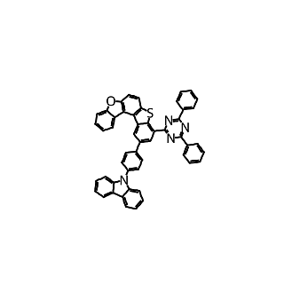 c1ccc(-c2nc(-c3ccccc3)nc(-c3cc(-c4ccc(-n5c6ccccc6c6ccccc65)cc4)cc4c3sc3ccc5oc6ccccc6c5c34)n2)cc1